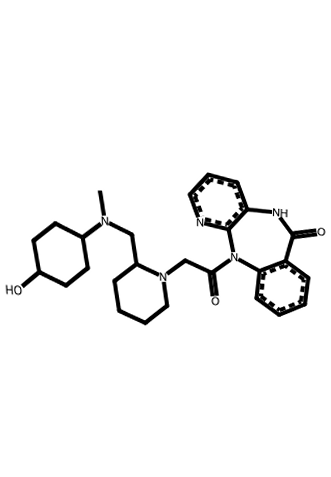 CN(CC1CCCCN1CC(=O)N1c2ccccc2C(=O)Nc2cccnc21)C1CCC(O)CC1